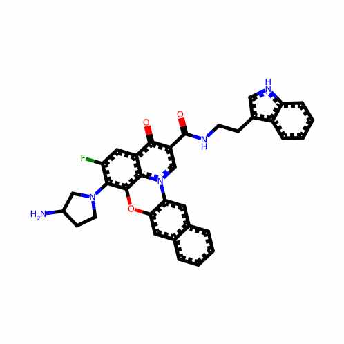 NC1CCN(c2c(F)cc3c(=O)c(C(=O)NCCc4c[nH]c5ccccc45)cn4c3c2Oc2cc3ccccc3cc2-4)C1